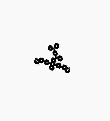 c1ccc(N(c2ccccc2)c2ccc(N(c3ccccc3)c3ccc4c(-c5ccc(-c6ccc7ncccc7c6)cc5)c5ccccc5c(-c5ccc(-c6ccc7ncccc7c6)cc5)c4c3)cc2)cc1